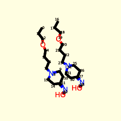 CCCOCCCCN1CCC(=NO)CC1.CCCOCCCCN1CCC(=NO)CC1